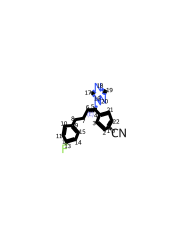 N#Cc1ccc(/C(=C\CCc2ccc(F)cc2)n2cncn2)cc1